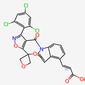 COC1(c2onc(-c3c(Cl)cc(Cl)cc3Cl)c2C(=O)n2ccc3c(/C=C/C(=O)O)cccc32)COC1